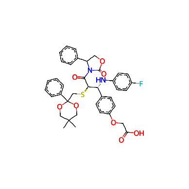 CC1(C)COC(CS[C@@H](C(=O)N2C(=O)OCC2c2ccccc2)[C@H](Nc2ccc(F)cc2)c2ccc(OCC(=O)O)cc2)(c2ccccc2)OC1